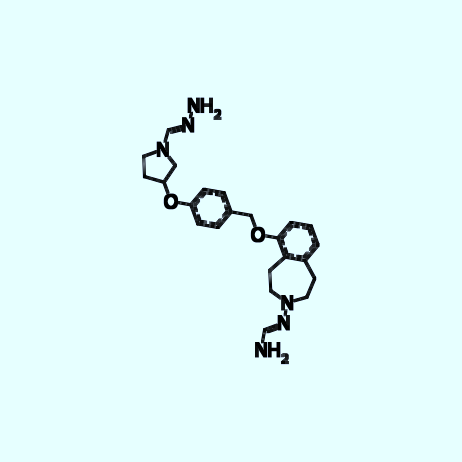 NC=NN1CCc2cccc(OCc3ccc(OC4CCN(C=NN)C4)cc3)c2CC1